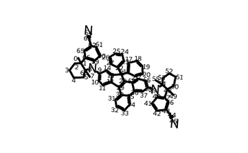 CC12CCCCC1(C)N(c1ccc3c(c1)C(c1ccccc1)(c1ccccc1)c1c-3c3ccccc3c3cc(N4c5ccc(C#N)cc5C5(C)CCCCC45C)ccc13)c1ccc(C#N)cc12